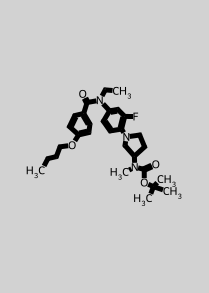 CCCCOc1ccc(C(=O)N(CC)c2ccc(N3CCC(N(C)C(=O)OC(C)(C)C)C3)c(F)c2)cc1